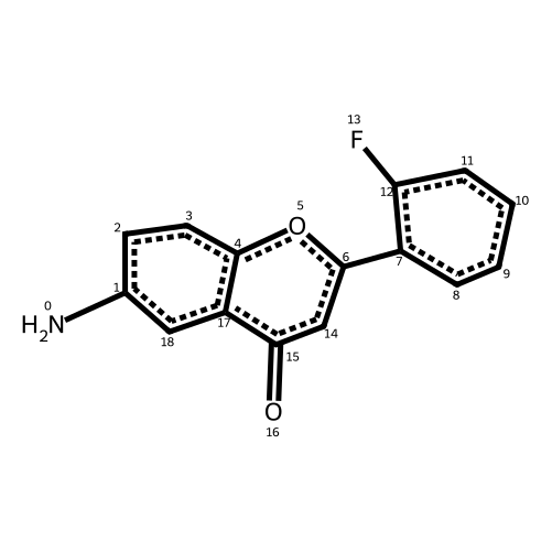 Nc1ccc2oc(-c3ccccc3F)cc(=O)c2c1